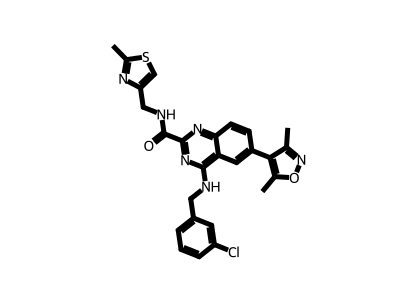 Cc1nc(CNC(=O)c2nc(NCc3cccc(Cl)c3)c3cc(-c4c(C)noc4C)ccc3n2)cs1